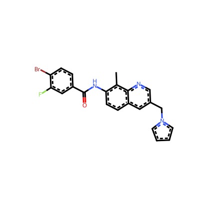 Cc1c(NC(=O)c2ccc(Br)c(F)c2)ccc2cc(Cn3cccc3)cnc12